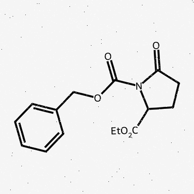 CCOC(=O)C1CCC(=O)N1C(=O)OCc1ccccc1